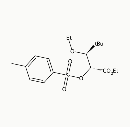 CCOC(=O)[C@H](OS(=O)(=O)c1ccc(C)cc1)[C@@H](OCC)C(C)(C)C